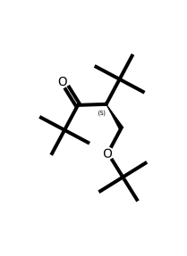 CC(C)(C)OC[C@@H](C(=O)C(C)(C)C)C(C)(C)C